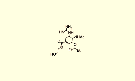 CCC(CC)O[C@@H]1C=C([PH](=O)OCCO)C[C@H](NC(=N)N)[C@H]1NC(C)=O